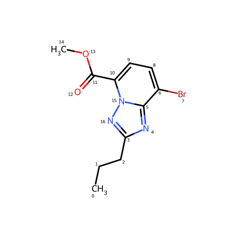 CCCc1nc2c(Br)ccc(C(=O)OC)n2n1